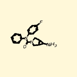 NC1C2CN(C(=O)N(c3ccccc3)c3ccc(F)cc3)CC12